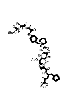 CC[C@H](C)[C@H](NC(=O)[C@H]1CCCC[N+]1(C)Cc1ccc(NC(=O)[C@H](C)NC(=O)[C@@H](NC(=O)OC(C)(C)C)C(C)C)cc1)C(=O)N(C)[C@H](C[C@@H](OC(C)=O)c1nc(C(=O)N[C@@H](Cc2ccccc2)C[C@H](C)C(=O)OC(C)(C)C)cs1)C(C)C